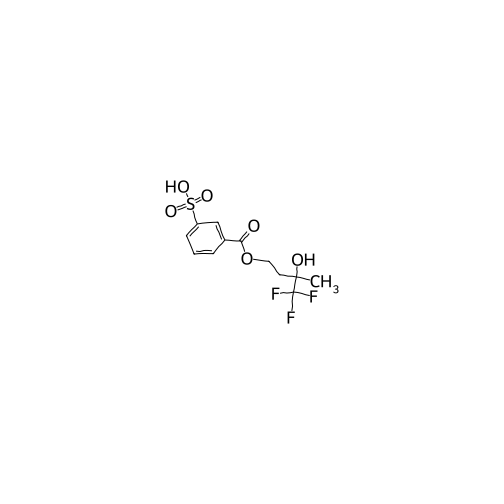 CC(O)(CCOC(=O)c1cccc(S(=O)(=O)O)c1)C(F)(F)F